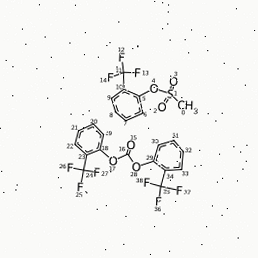 CS(=O)(=O)Oc1ccccc1C(F)(F)F.O=C(Oc1ccccc1C(F)(F)F)Oc1ccccc1C(F)(F)F